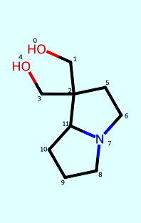 OCC1(CO)CCN2CCCC21